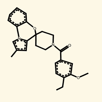 CCc1ccc(C(=O)N2CCC3(CC2)Oc2ccccc2-n2cc(C)cc23)cc1OC